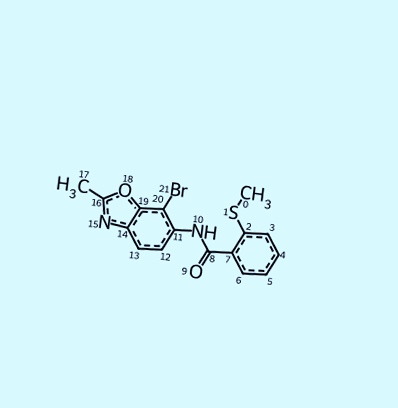 CSc1ccccc1C(=O)Nc1ccc2nc(C)oc2c1Br